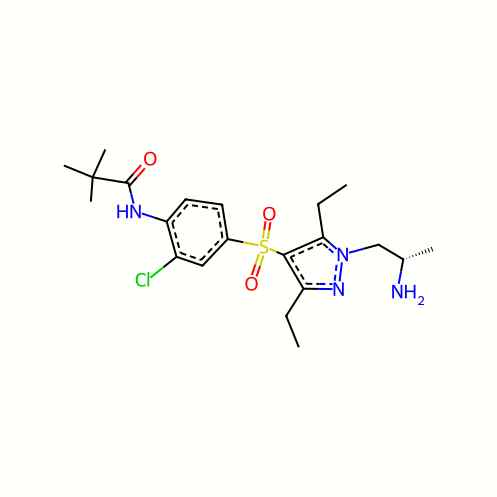 CCc1nn(C[C@H](C)N)c(CC)c1S(=O)(=O)c1ccc(NC(=O)C(C)(C)C)c(Cl)c1